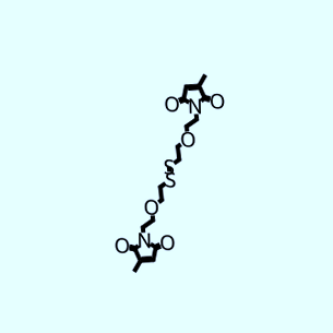 CC1=CC(=O)N(CCOCCSSCCOCCN2C(=O)C=C(C)C2=O)C1=O